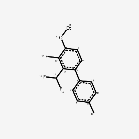 CCOc1ccc(-c2ccc(C)cc2)c(C(F)F)c1F